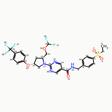 CCS(=O)(=O)c1ccc(CNC(=O)c2cnc(N3C[C@H](Oc4ccc(C(F)(F)F)cc4)C[C@H]3COC(F)F)nc2)cc1